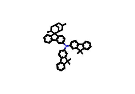 CC1CC2CC(C)C3(c4ccccc4-c4cc(N(c5ccc6c(c5)C(C)(C)c5ccccc5-6)c5ccc6c(c5)C(C)(C)c5ccccc5-6)ccc43)C(C1)C2